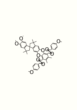 COc1ccc(S(=O)(=O)c2c(C)c(C)c(S(=O)(=O)c3ccc(OC)cc3)c3c2Oc2cc4c(cc2O3)C2(CC(C)(C)c3cc(OC)c(OC)cc32)CC4(C)C)cc1